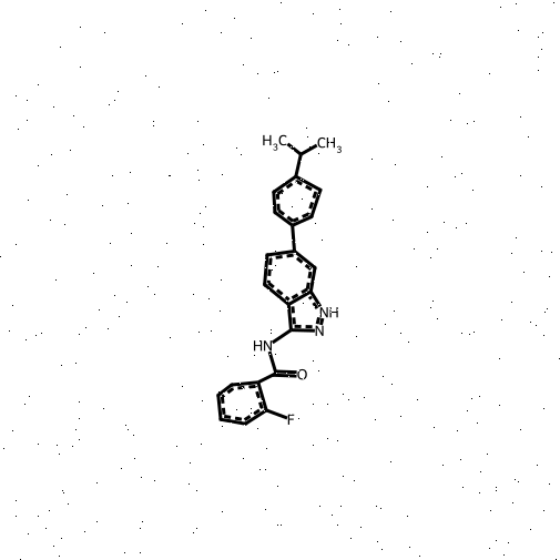 CC(C)c1ccc(-c2ccc3c(NC(=O)c4ccccc4F)n[nH]c3c2)cc1